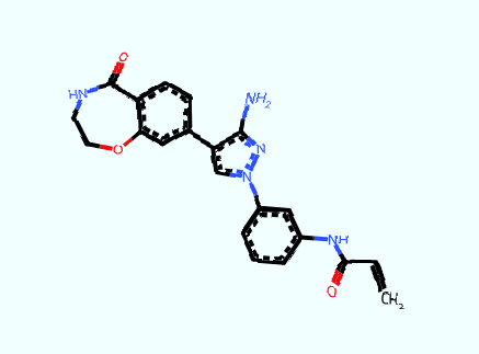 C=CC(=O)Nc1cccc(-n2cc(-c3ccc4c(c3)OCCNC4=O)c(N)n2)c1